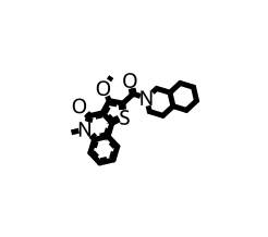 COc1c(C(=O)N2CCC3CCCCC3C2)sc2c1c(=O)n(C)c1ccccc21